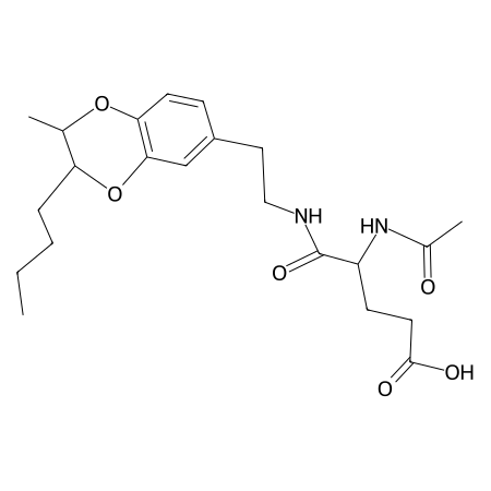 CCCCC1Oc2cc(CCNC(=O)C(CCC(=O)O)NC(C)=O)ccc2OC1C